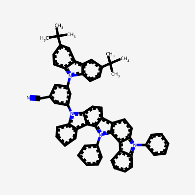 CC(C)(C)c1ccc2c(c1)c1cc(C(C)(C)C)ccc1n2-c1cc(C#N)cc(-n2c3ccccc3c3c2ccc2c4ccc5c(c6ccccc6n5-c5ccccc5)c4n(-c4ccccc4)c23)c1